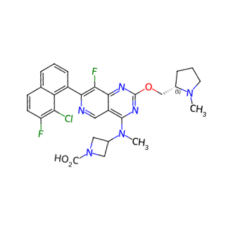 CN(c1nc(OC[C@@H]2CCCN2C)nc2c(F)c(-c3cccc4ccc(F)c(Cl)c34)ncc12)C1CN(C(=O)O)C1